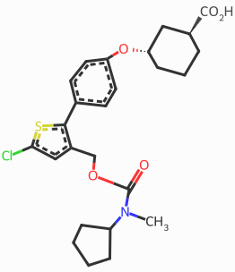 CN(C(=O)OCc1cc(Cl)sc1-c1ccc(O[C@H]2CCC[C@H](C(=O)O)C2)cc1)C1CCCC1